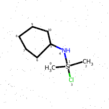 C[Si](C)(Cl)NC1CCCCC1